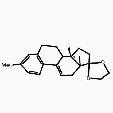 COc1ccc2c(c1)CCC1C2=CCC2(C)[C@H]1CCC21OCCO1